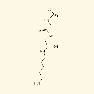 CCC(=O)NCC(=O)NCC(O)NCCCCCN